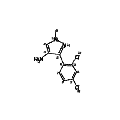 Cn1cc(N)c(-c2ccc(Cl)cc2Cl)n1